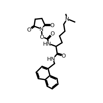 CN(C)CCCCC(NC(=O)ON1C(=O)CCC1=O)C(=O)NCc1cccc2ccccc12